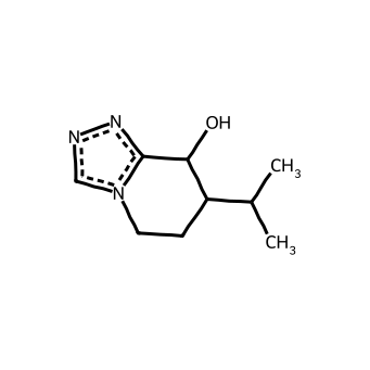 CC(C)C1CCn2cnnc2C1O